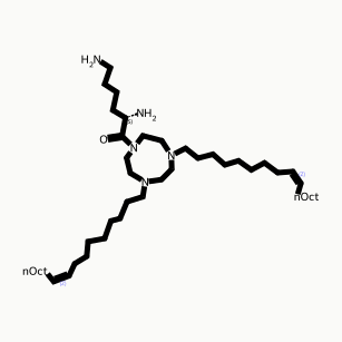 CCCCCCCC/C=C\CCCCCCCCN1CCN(CCCCCCCC/C=C\CCCCCCCC)CCN(C(=O)[C@@H](N)CCCCN)CC1